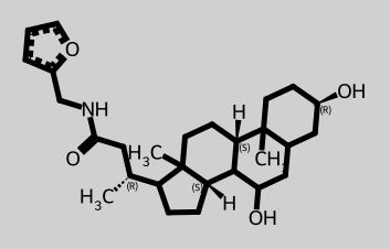 C[C@H](CC(=O)NCc1ccco1)C1CC[C@H]2C3C(O)CC4C[C@H](O)CCC4(C)[C@H]3CCC12C